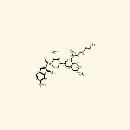 COc1ccc2cc(C(=O)N3CCN(C(=O)CN4C[C@@H](C)NC[C@@H]4CN(C)CCOCCO)CC3)n(C)c2c1.Cl